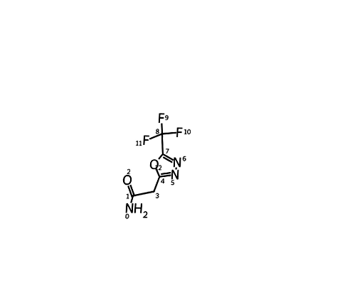 NC(=O)Cc1nnc(C(F)(F)F)o1